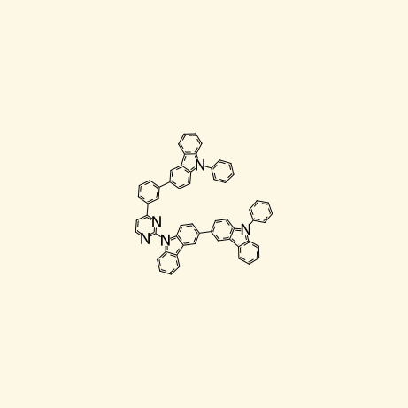 c1ccc(-n2c3ccccc3c3cc(-c4cccc(-c5ccnc(-n6c7ccccc7c7cc(-c8ccc9c(c8)c8ccccc8n9-c8ccccc8)ccc76)n5)c4)ccc32)cc1